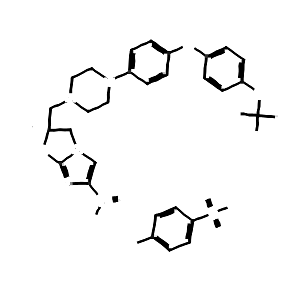 C[C@]1(CN2CCN(c3ccc(Oc4ccc(OC(F)(F)F)cc4)cc3)CC2)Cn2cc([N+](=O)[O-])nc2O1.Cc1ccc(S(=O)(=O)O)cc1